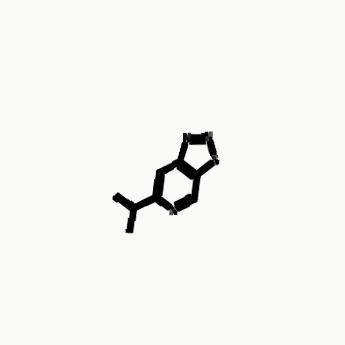 CC(C)c1cc2nnsc2cn1